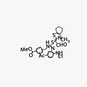 CCNc1ccc(C(C)=O)cc1N=C(NCc1ccc(C(=O)OC)cc1)S/C(C=O)=C1\SC2=C(CCCC2)N1C